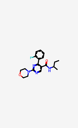 CCC(C)NC(=O)c1cnc(N2CCOCC2)nc1-c1ccccc1F